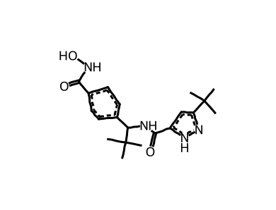 CC(C)(C)c1cc(C(=O)NC(c2ccc(C(=O)NO)cc2)C(C)(C)C)[nH]n1